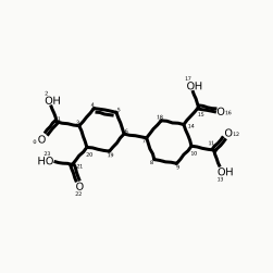 O=C(O)C1C=CC(C2CCC(C(=O)O)C(C(=O)O)C2)CC1C(=O)O